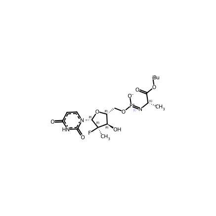 CCC(C)OC(=O)[C@H](C)/N=[P+](\[O-])OC[C@H]1O[C@@H](n2ccc(=O)[nH]c2=O)[C@](C)(F)[C@@H]1O